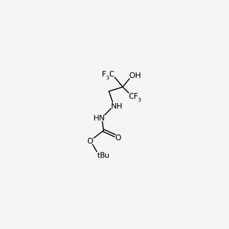 CC(C)(C)OC(=O)NNCC(O)(C(F)(F)F)C(F)(F)F